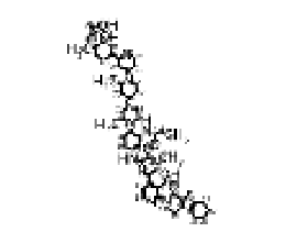 C=CC(=O)Nc1cc(Nc2nc(-c3ccnc(N4CCc5c(sc6c5CCCC6)C4=O)c3CO)cn(C)c2=O)ccc1N1CCN(C2CCN(c3ccnc(C4CCC(C)(OP(=O)(O)O)CC4)c3)[C@H](C)C2)C[C@@H]1C